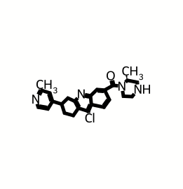 Cc1cc(C2CCc3c(nc4cc(C(=O)N5CCNC[C@H]5C)ccc4c3Cl)C2)ccn1